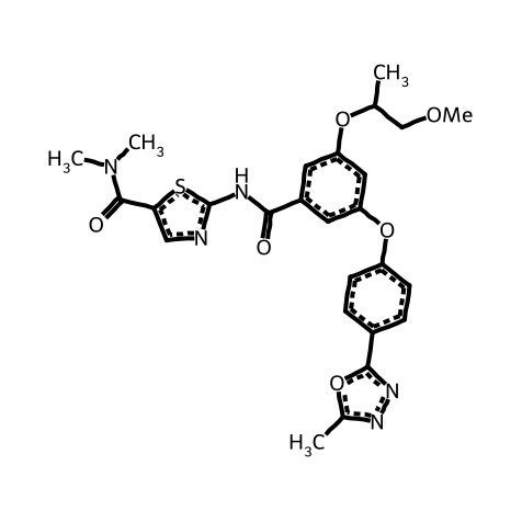 COCC(C)Oc1cc(Oc2ccc(-c3nnc(C)o3)cc2)cc(C(=O)Nc2ncc(C(=O)N(C)C)s2)c1